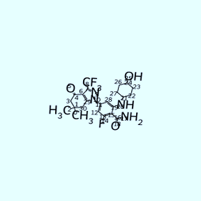 CC1(C)CC(=O)c2c(C(F)(F)F)nn(-c3cc(F)c(C(N)=O)c(NC4CCC(O)CC4)c3)c2C1